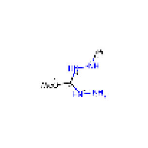 COC(NN)NNC(C)C